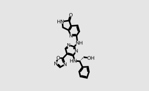 O=C1NCc2nc(Nc3ncc(-c4ncno4)c(N[C@H](CO)c4ccccc4)n3)ccc21